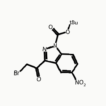 CC(C)(C)OC(=O)n1nc(C(=O)CBr)c2cc([N+](=O)[O-])ccc21